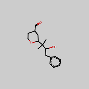 CC(C)(C(O)Cc1ccccc1)C1CC(C=O)CCO1